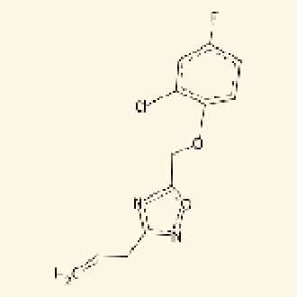 C=CCc1noc(COc2ccc(F)cc2Cl)n1